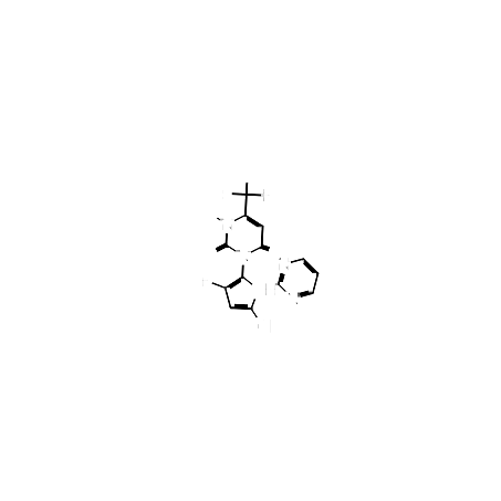 Cn1c(C(F)(F)F)cc(=O)n(C2=C(F)C=C(Cl)[SH]2c2n[c]ccn2)c1=O